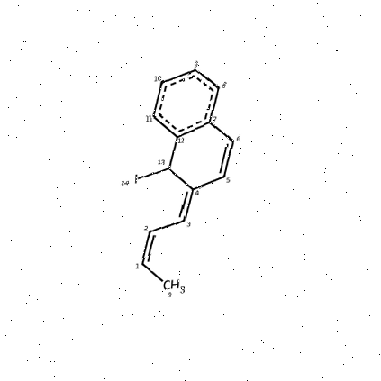 C/C=C\C=C1\C=Cc2ccccc2C1I